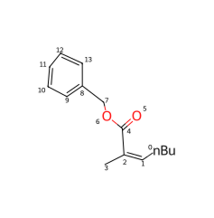 CCCC/C=C(/C)C(=O)OCc1ccccc1